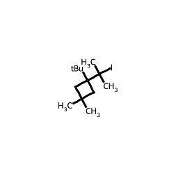 CC1(C)CC(C(C)(C)C)(C(C)(C)I)C1